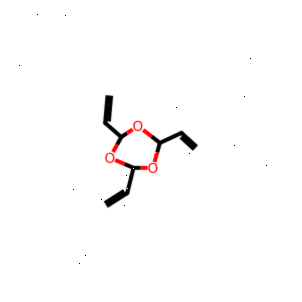 C=CC1OC(C=C)OC(C=C)O1